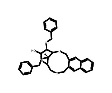 OC1OC2COCc3cc4ccccc4cc3COC([C@@H]1OCc1ccccc1)[C@H]2OCc1ccccc1